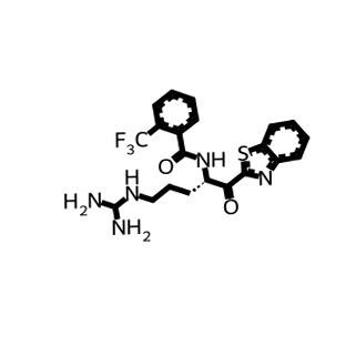 NC(N)NCCC[C@H](NC(=O)c1ccccc1C(F)(F)F)C(=O)c1nc2ccccc2s1